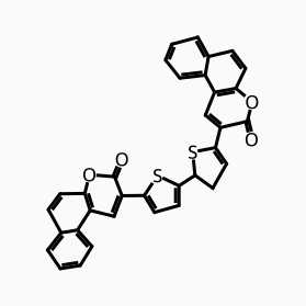 O=c1oc2ccc3ccccc3c2cc1C1=CCC(c2ccc(-c3cc4c(ccc5ccccc54)oc3=O)s2)S1